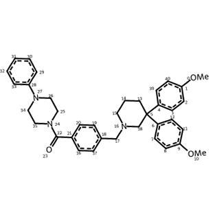 COc1ccc(C2(c3ccc(OC)cc3)CCCN(Cc3ccc(C(=O)N4CCN(c5ccccc5)CC4)cc3)C2)cc1